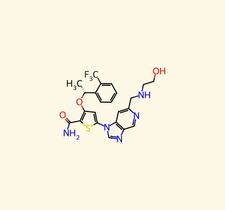 C[C@@H](Oc1cc(-n2cnc3cnc(CNCCO)cc32)sc1C(N)=O)c1ccccc1C(F)(F)F